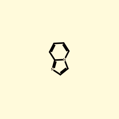 [c]1[c]n2ccccc2n1